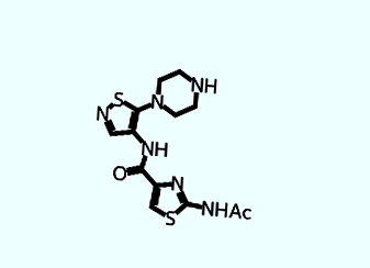 CC(=O)Nc1nc(C(=O)Nc2cnsc2N2CCNCC2)cs1